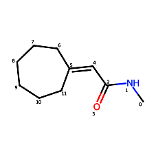 CNC(=O)C=C1CCCCCC1